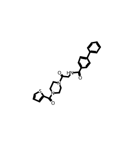 O=C(NCC(=O)N1CCN(C(=O)c2cccs2)CC1)c1ccc(-c2ccccc2)cc1